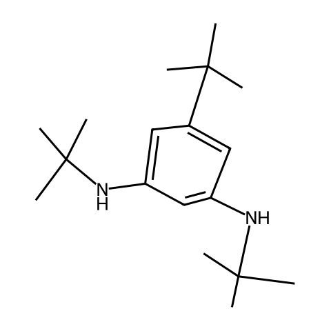 CC(C)(C)Nc1cc(NC(C)(C)C)cc(C(C)(C)C)c1